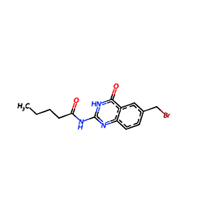 CCCCC(=O)Nc1nc2ccc(CBr)cc2c(=O)[nH]1